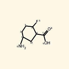 NC1CCC(F)C(C(=O)O)C1